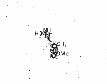 COc1ccccc1S(=O)(=O)c1cc(C)cc(OCCCONC(=N)N)c1